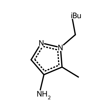 CCC(C)Cn1ncc(N)c1C